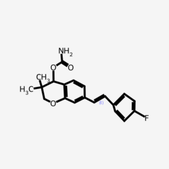 CC1(C)COc2cc(/C=C/c3ccc(F)cc3)ccc2C1OC(N)=O